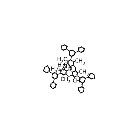 Cc1c(C)c(-c2cc(-c3ccccc3)cc(-c3ccccc3)c2)c(C)c2c1B1c3c(C)c(C)c(-c4cc(-c5ccccc5)cc(-c5ccccc5)c4)c(C)c3Cc3c(C)c(-c4cc(-c5ccccc5)cc(-c5ccccc5)c4)c(C)c(c31)C2